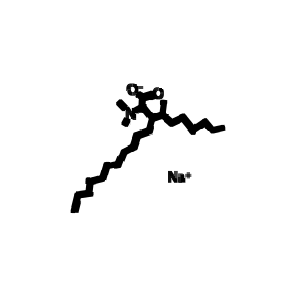 CCCCCCCCCCCC(C(C)CCCCCC)C(C(=O)[O-])N(C)C.[Na+]